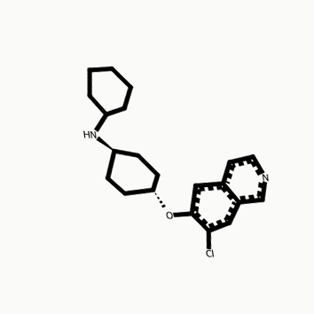 Clc1cc2cnccc2cc1O[C@H]1CC[C@H](NC2CCCCC2)CC1